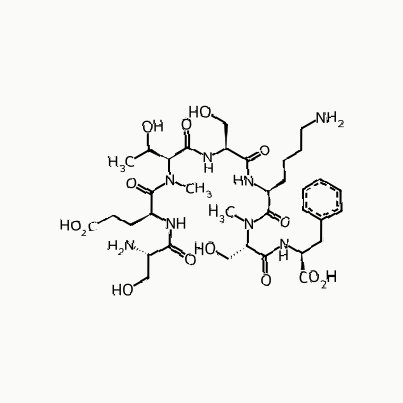 CC(O)[C@@H](C(=O)N[C@@H](CO)C(=O)N[C@@H](CCCCN)C(=O)N(C)[C@@H](CO)C(=O)N[C@@H](Cc1ccccc1)C(=O)O)N(C)C(=O)[C@H](CCC(=O)O)NC(=O)[C@@H](N)CO